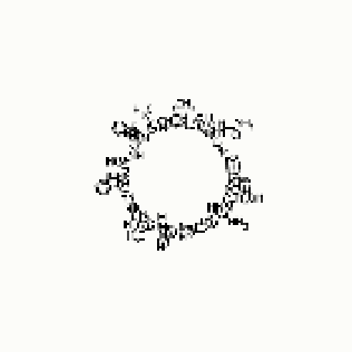 CCCC[C@H]1C(=O)N(C)[C@@H](CCCC)C(=O)N[C@@H](CO)C(=O)NC(C(=O)NCC(N)=O)CSCC(=O)N[C@@H](Cc2ccc(O)cc2)C(=O)N(C)[C@@H](C)C(=O)N[C@@H](CC(N)=O)C(=O)N2CCC[C@H]2C(=O)N[C@@H](Cc2cnc[nH]2)C(=O)N[C@@H](CC(C)C)C(=O)N2CCC[C@H]2C(=O)N[C@@H](Cc2c[nH]c3ccccc23)C(=O)N[C@@H](CO)C(=O)N[C@@H](Cc2csc3ccccc23)C(=O)N1C